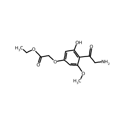 CCOC(=O)COc1cc(O)c(C(=O)CN)c(OC)c1